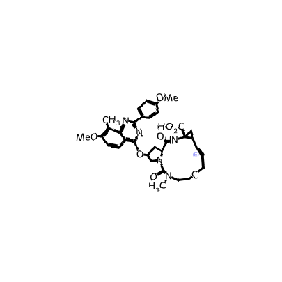 COc1ccc(-c2nc(OC3CC4C(=O)NC5(C(=O)O)CC5/C=C/CCCCN(C)C(=O)N4C3)c3ccc(OC)c(C)c3n2)cc1